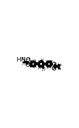 C=C(C)C(=O)Oc1ccc(-c2ccc(-c3ccc(OC(=O)C=N)cc3)cc2C)cc1